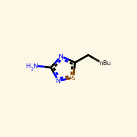 CCCCCc1nc(N)ns1